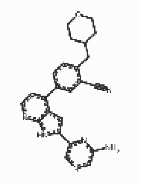 N#Cc1cc(-c2ccnc3[nH]c(-c4cncc(N)n4)cc23)ccc1CC1CCOCC1